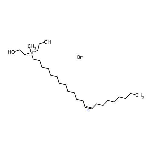 CCCCCCCC/C=C\CCCCCCCCCCCC[N+](C)(CCO)CCO.[Br-]